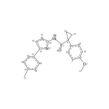 COc1ccc(C2(C(=O)Nc3nc(-c4ccc(C)cc4)cs3)CC2)cc1